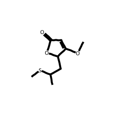 COC1=CC(=O)OC1CC(C)SC